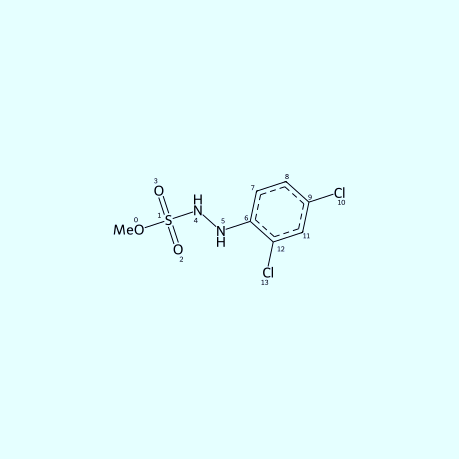 COS(=O)(=O)NNc1ccc(Cl)cc1Cl